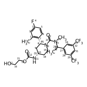 Cc1cc(F)ccc1[C@H]1C[C@@H](NC(=O)OCCO)CCN1C(=O)N(C)[C@H](C)c1cc(C(F)(F)F)cc(C(F)(F)F)c1